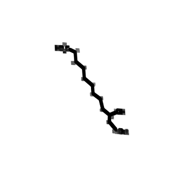 CCCCCCCCCC(O)CCCCCCCCC(=O)O